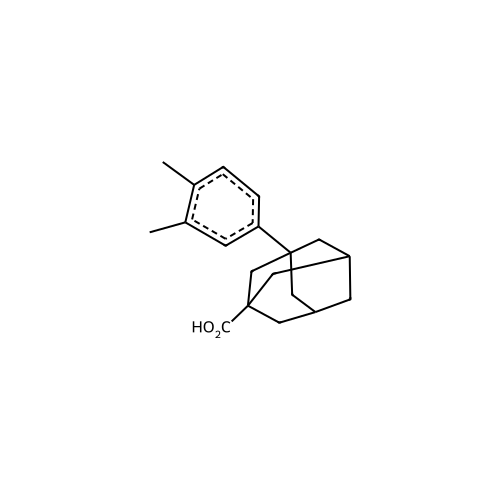 Cc1ccc(C23CC4CC(CC(C(=O)O)(C4)C2)C3)cc1C